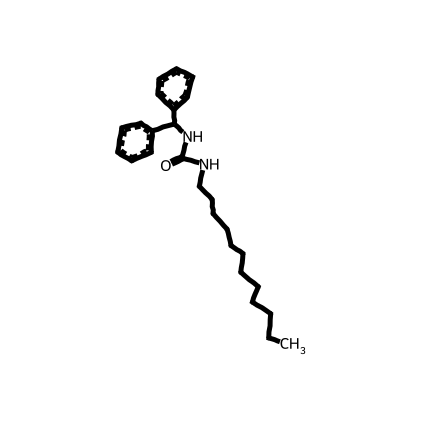 CCCCCCCCCCCCNC(=O)NC(c1ccccc1)c1ccccc1